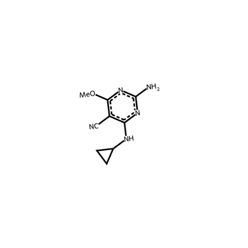 COc1nc(N)nc(NC2CC2)c1C#N